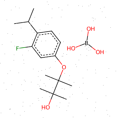 CC(C)c1ccc(OC(C)(C)C(C)(C)O)cc1F.OB(O)O